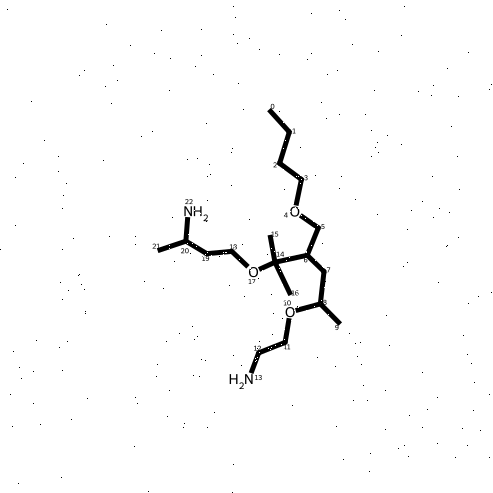 CCCCOCC(CC(C)OCCN)C(C)(C)OCCC(C)N